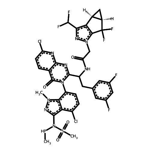 CPN(c1nn(C)c2c(-n3c(C(Cc4cc(F)cc(F)c4)NC(=O)Cn4nc(C(F)F)c5c4C(F)(F)[C@@H]4C[C@H]54)nc4nc(Cl)ccc4c3=O)ccc(Cl)c12)S(C)(=O)=O